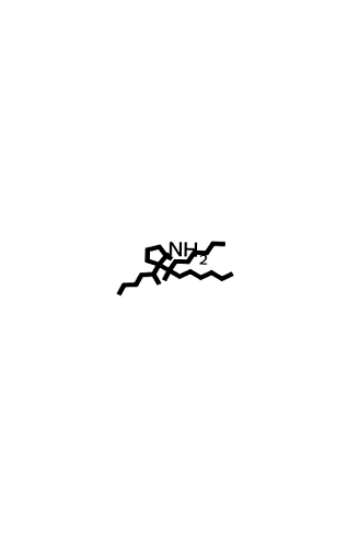 CCCCCCC(C)(CCCCCC)C1(C(C)CCCC)CCCC1(C)N